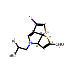 CCCCC(CC)CN1C=C2C(I)=CSC23SC(C=O)=CC13